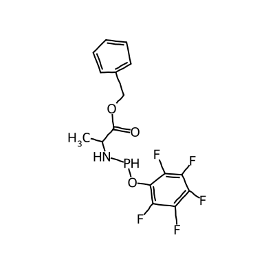 CC(NPOc1c(F)c(F)c(F)c(F)c1F)C(=O)OCc1ccccc1